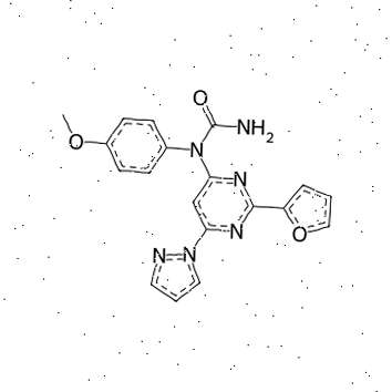 COc1ccc(N(C(N)=O)c2cc(-n3cccn3)nc(-c3ccco3)n2)cc1